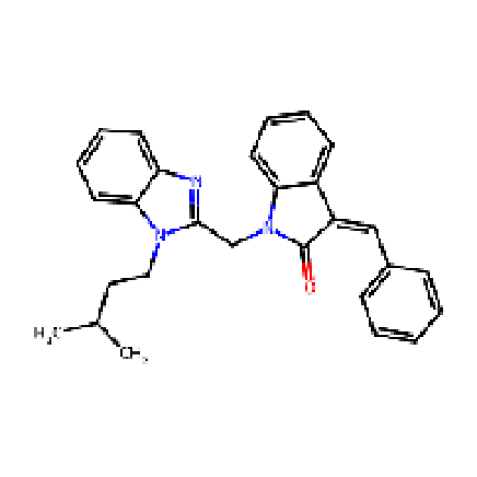 CC(C)CCn1c(CN2C(=O)C(=Cc3ccccc3)c3ccccc32)nc2ccccc21